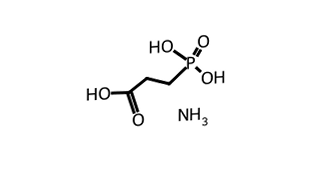 N.O=C(O)CCP(=O)(O)O